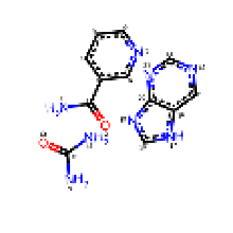 NC(=O)c1cccnc1.NC(N)=O.c1ncc2[nH]cnc2n1